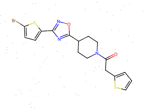 O=C(Cc1cccs1)N1CCC(c2nc(-c3ccc(Br)s3)no2)CC1